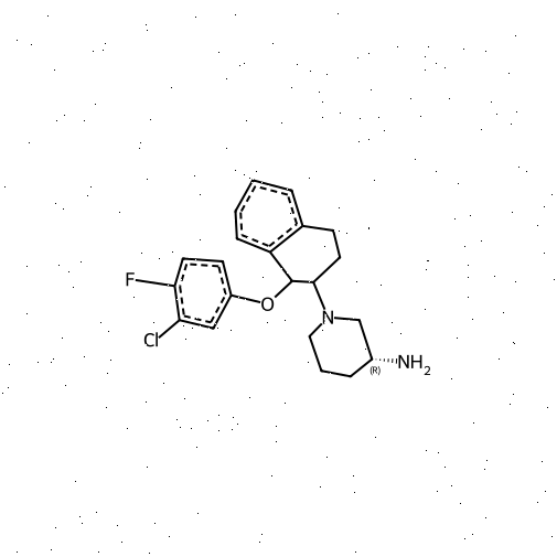 N[C@@H]1CCCN(C2CCc3ccccc3C2Oc2ccc(F)c(Cl)c2)C1